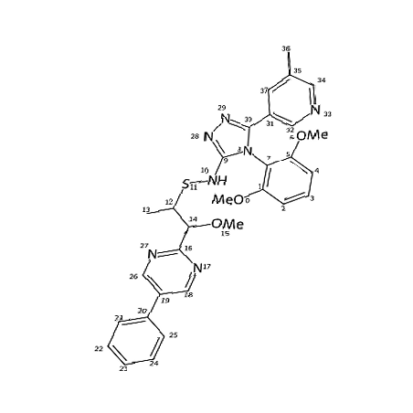 COc1cccc(OC)c1-n1c(NSC(C)C(OC)c2ncc(-c3ccccc3)cn2)nnc1-c1cncc(C)c1